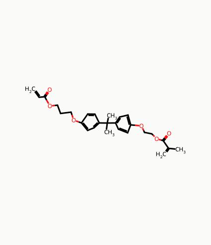 C=CC(=O)OCCCOc1ccc(C(C)(C)c2ccc(OCCOC(=O)C(=C)C)cc2)cc1